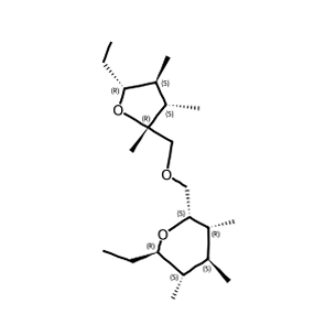 CC[C@H]1O[C@@](C)(COC[C@H]2O[C@H](CC)[C@@H](C)[C@H](C)[C@H]2C)[C@@H](C)[C@@H]1C